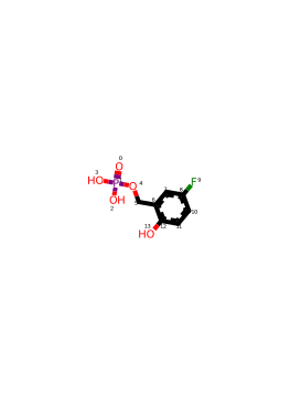 O=P(O)(O)OCc1cc(F)ccc1O